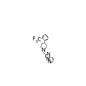 FC(F)(F)c1ccccc1C1CCN(Cc2cn3ncccc3n2)CC1